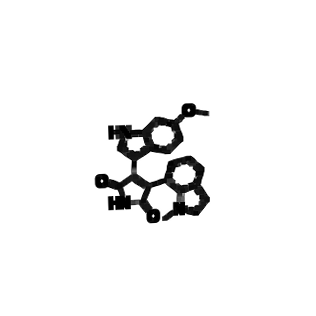 COc1ccc2c(C3=C(c4cccc5ccn(C)c45)C(=O)NC3=O)c[nH]c2c1